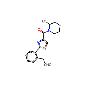 CCC1CCCCN1C(=O)c1csc(-c2ccccc2CC=O)n1